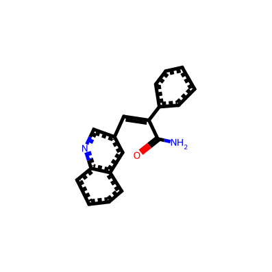 NC(=O)C(=Cc1cnc2ccccc2c1)c1ccccc1